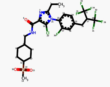 CCc1nc(C(=O)NCC2CCC(S(C)(=O)=O)CC2)c(Cl)n1-c1ccc(CC(C(F)(F)F)C(F)(F)F)cc1F